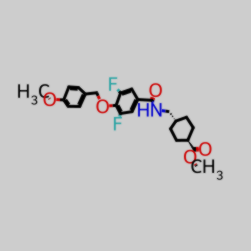 COc1ccc(COc2c(F)cc(C(=O)NC[C@H]3CC[C@H](C(=O)OC)CC3)cc2F)cc1